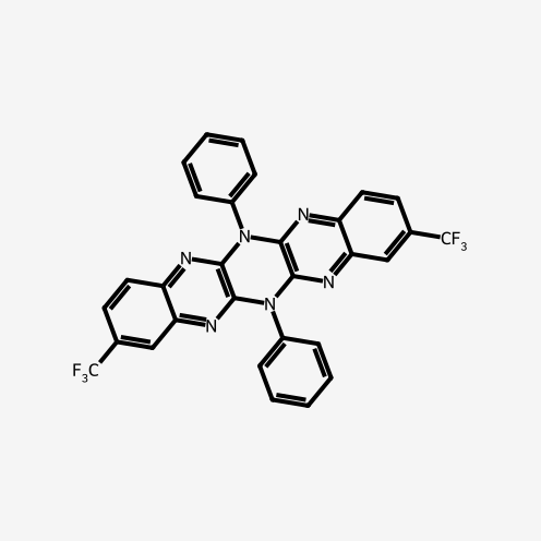 FC(F)(F)c1ccc2nc3c(nc2c1)N(c1ccccc1)c1nc2cc(C(F)(F)F)ccc2nc1N3c1ccccc1